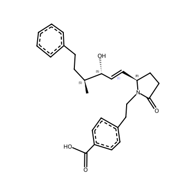 C[C@@H](CCc1ccccc1)[C@H](O)/C=C/[C@H]1CCC(=O)N1CCc1ccc(C(=O)O)cc1